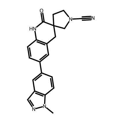 Cn1ncc2cc(-c3ccc4c(c3)CC3(CCN(C#N)C3)C(=O)N4)ccc21